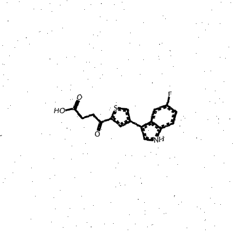 O=C(O)CCC(=O)c1cc(-c2c[nH]c3ccc(F)cc23)cs1